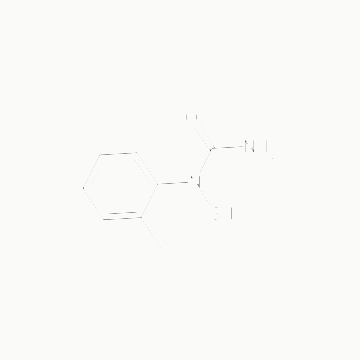 Cc1ccccc1N(S)C(N)=O